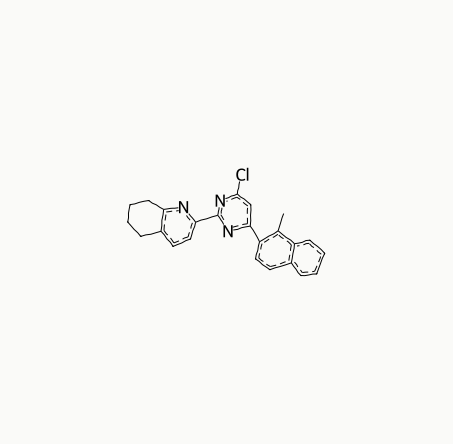 Cc1c(-c2cc(Cl)nc(-c3ccc4c(n3)CCCC4)n2)ccc2ccccc12